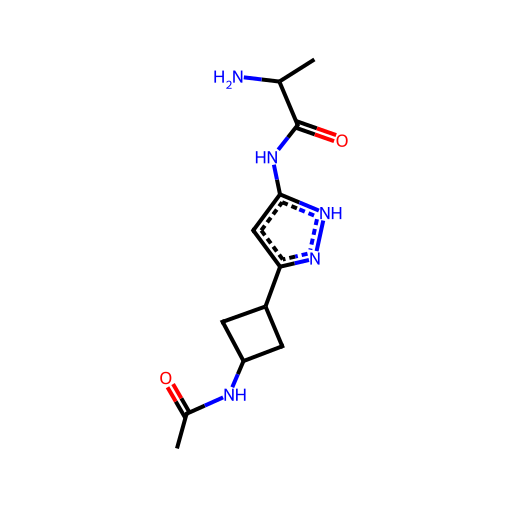 CC(=O)NC1CC(c2cc(NC(=O)C(C)N)[nH]n2)C1